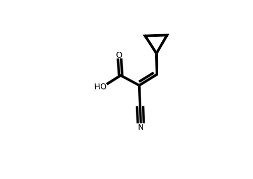 N#CC(=CC1CC1)C(=O)O